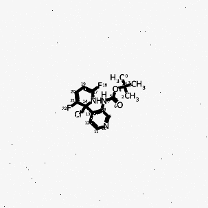 CC(C)(C)OC(=O)Nc1cnccc1C1(Cl)NC(F)=CC=C1F